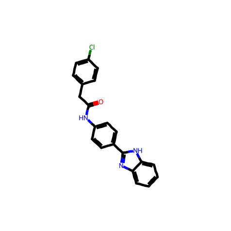 O=C(Cc1ccc(Cl)cc1)Nc1ccc(-c2nc3ccccc3[nH]2)cc1